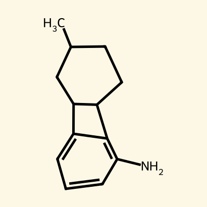 CC1CCC2c3c(N)cccc3C2C1